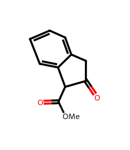 COC(=O)C1C(=O)Cc2ccccc21